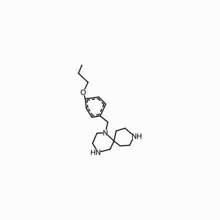 CCCOc1ccc(CN2CCNCC23CCNCC3)cc1